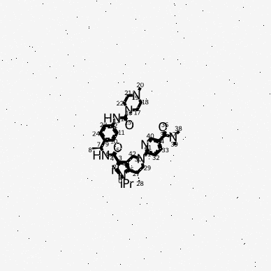 CC(C)n1nc(C(=O)N[C@@H](C)c2ccc(NC(=O)N3CCN(C)CC3)cc2)c2c1[C@@H](C)CN(c1ccc(C(=O)N(C)C)cn1)C2